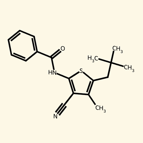 Cc1c(CC(C)(C)C)sc(NC(=O)c2ccccc2)c1C#N